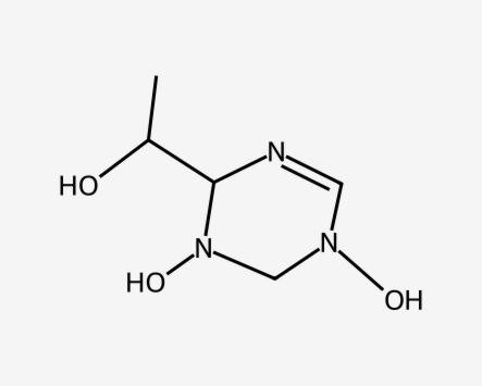 CC(O)C1N=CN(O)CN1O